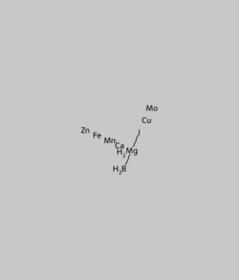 [BH2][Mg][I].[CaH2].[Cu].[Fe].[Mn].[Mo].[Zn]